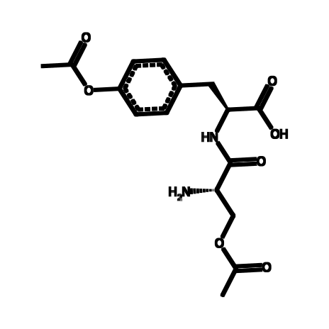 CC(=O)OC[C@H](N)C(=O)N[C@@H](Cc1ccc(OC(C)=O)cc1)C(=O)O